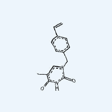 C=Cc1ccc(Cn2cc(C)c(=O)[nH]c2=O)cc1